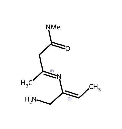 C/C=C(CN)\N=C(/C)CC(=O)NC